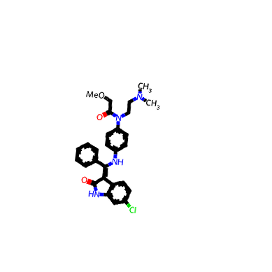 COCC(=O)N(CCN(C)C)c1ccc(NC(=C2C(=O)Nc3cc(Cl)ccc32)c2ccccc2)cc1